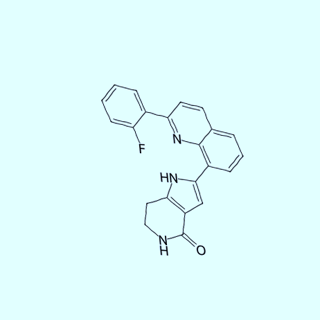 O=C1NCCc2[nH]c(-c3cccc4ccc(-c5ccccc5F)nc34)cc21